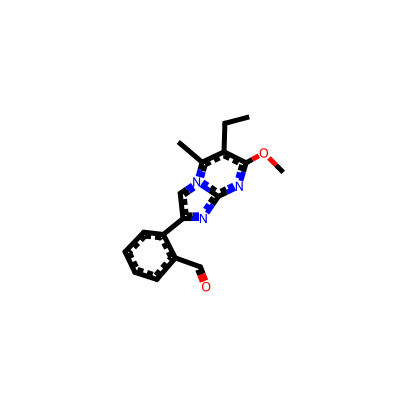 CCc1c(OC)nc2nc(-c3ccccc3C=O)cn2c1C